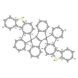 c1ccc2c(c1)C1=C(c3ccccc3C13c1ccccc1-c1c3ccc3sc4ccccc4c13)C21c2ccccc2-c2c1ccc1sc3ccccc3c21